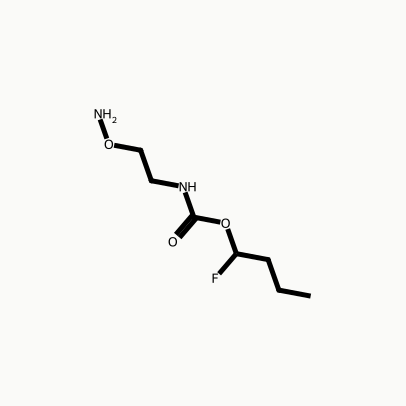 CCCC(F)OC(=O)NCCON